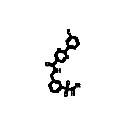 CCNS(=O)(=O)c1cccc(CNC(=O)c2cnc(-c3cccc(F)c3)nc2)c1